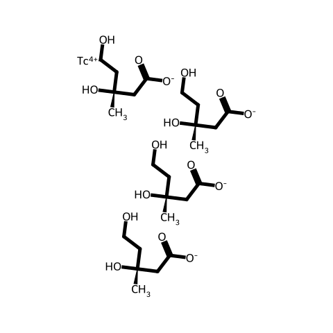 C[C@@](O)(CCO)CC(=O)[O-].C[C@@](O)(CCO)CC(=O)[O-].C[C@@](O)(CCO)CC(=O)[O-].C[C@@](O)(CCO)CC(=O)[O-].[Tc+4]